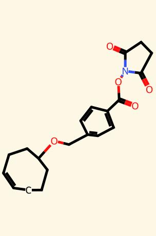 O=C(ON1C(=O)CCC1=O)c1ccc(COC2CCC=CCCC2)cc1